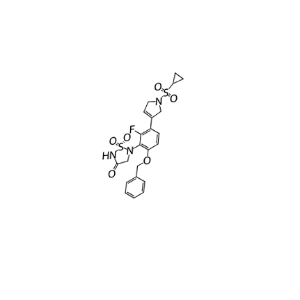 O=C1CN(c2c(OCc3ccccc3)ccc(C3=CCN(S(=O)(=O)C4CC4)C3)c2F)S(=O)(=O)N1